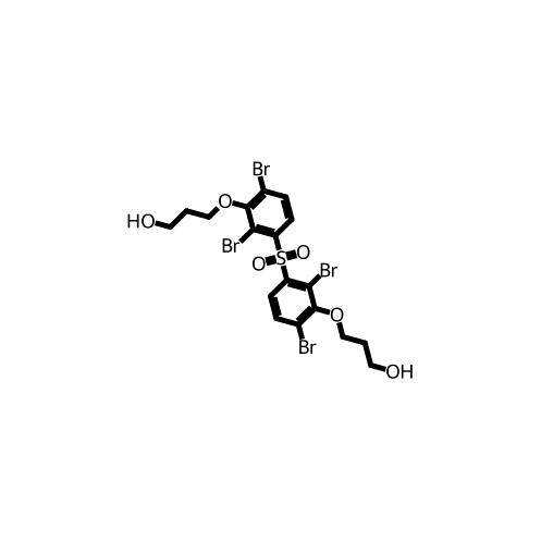 O=S(=O)(c1ccc(Br)c(OCCCO)c1Br)c1ccc(Br)c(OCCCO)c1Br